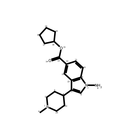 CN1CCC(c2cn(N)c3ccc(C(=O)OC4CCCC4)cc23)CC1